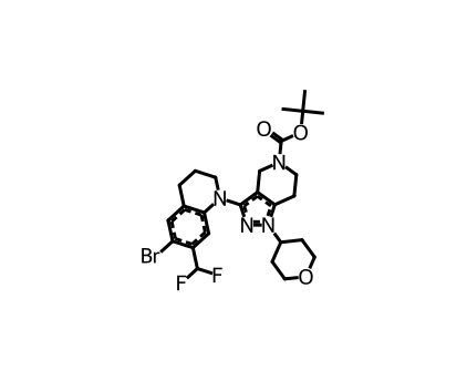 CC(C)(C)OC(=O)N1CCc2c(c(N3CCCc4cc(Br)c(C(F)F)cc43)nn2C2CCOCC2)C1